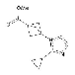 COC(=O)C12CC(n3ccnc3C3CC3)(C1)C2